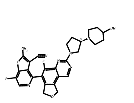 N#Cc1c(N)sc2c(F)cnc(-c3c4c(c5cnc(N6CC[C@@H](N7CCC(O)CC7)C6)nc5c3F)COC4)c12